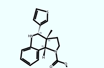 CC(C)(C)OC(=O)N1CC[C@@]2(C)[C@@H](c3ccsc3)Nc3ccccc3[C@@H]12